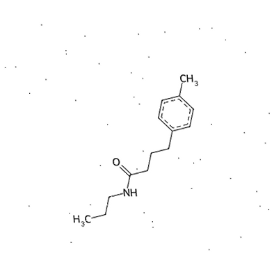 CCCNC(=O)CCCc1ccc(C)cc1